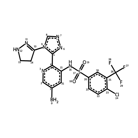 Bc1cnc(-c2nncn2C2=NNCC2)c(NS(=O)(=O)c2ccc(Cl)c(C(F)(F)F)c2)c1